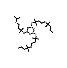 CCCC(C)(C)OCCC(C)(C)OB1OB(OC(C)(C)CCOC(C)C)OB(OC(C)(C)CCOC(C)(C)CCC)O1